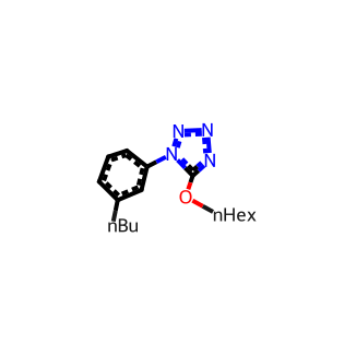 [CH2]CCCc1cccc(-n2nnnc2OCCCCCC)c1